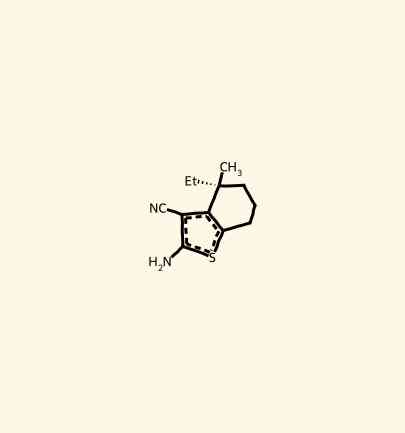 CC[C@]1(C)CCCc2sc(N)c(C#N)c21